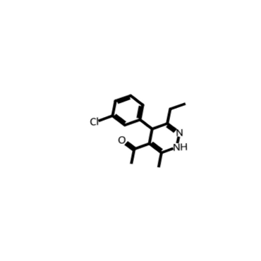 CCC1=NNC(C)=C(C(C)=O)C1c1cccc(Cl)c1